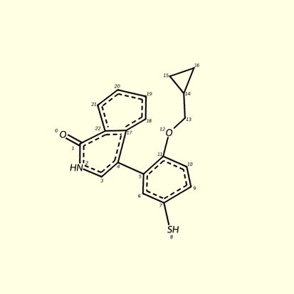 O=c1[nH]cc(-c2cc(S)ccc2OCC2CC2)c2ccccc12